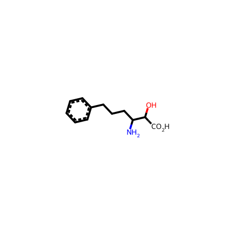 NC(CCCc1ccccc1)C(O)C(=O)O